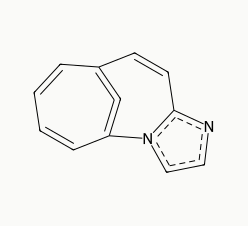 C1=C2C=CC=CC=1n1ccnc1C=C2